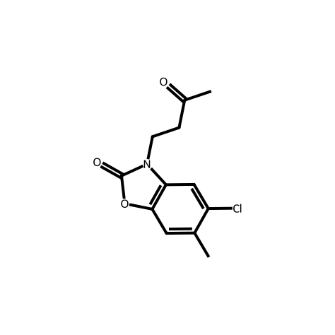 CC(=O)CCn1c(=O)oc2cc(C)c(Cl)cc21